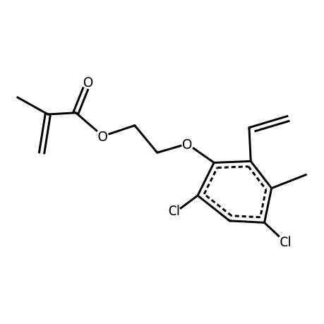 C=Cc1c(C)c(Cl)cc(Cl)c1OCCOC(=O)C(=C)C